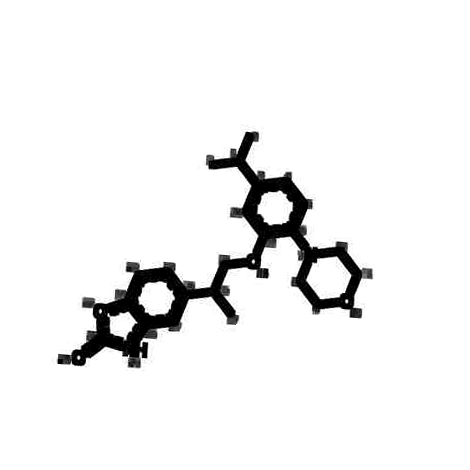 CC(C)c1ccc(N2CCOCC2)c(OCC(C)c2ccc3oc(=O)[nH]c3c2)c1